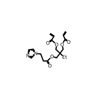 C=CC(=O)OCC(CC)(COC(=O)C=C)COC(=O)CCn1ccnc1